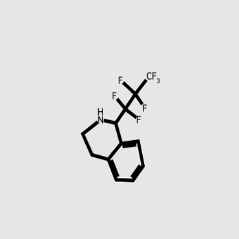 FC(F)(F)C(F)(F)C(F)(F)C1NCCc2ccccc21